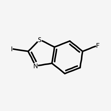 Fc1ccc2nc(I)sc2c1